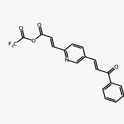 O=C(C=Cc1ccc(C=CC(=O)c2ccccc2)cn1)OC(=O)C(F)(F)F